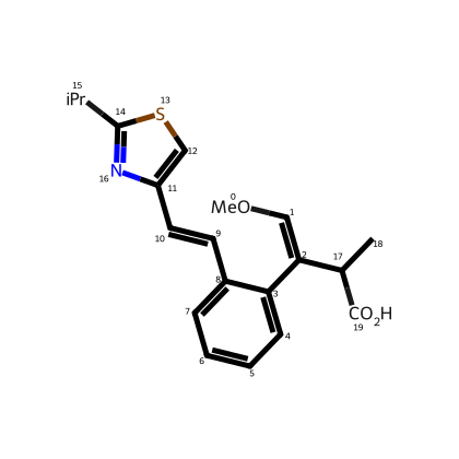 CO/C=C(\c1ccccc1/C=C/c1csc(C(C)C)n1)C(C)C(=O)O